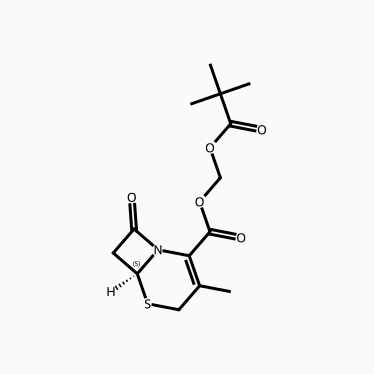 CC1=C(C(=O)OCOC(=O)C(C)(C)C)N2C(=O)C[C@@H]2SC1